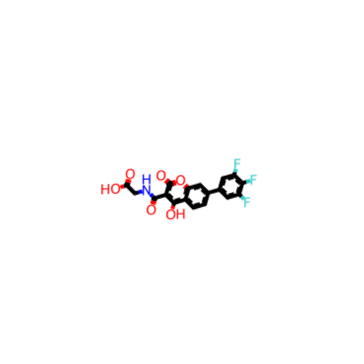 O=C(O)CNC(=O)c1c(O)c2ccc(-c3cc(F)c(F)c(F)c3)cc2oc1=O